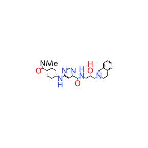 CNC(=O)[C@H]1CC[C@@H](Nc2cc(C(=O)NC[C@H](O)CN3CCc4ccccc4C3)ncn2)CC1